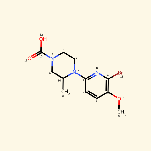 COc1ccc(N2CCN(C(=O)O)CC2C)nc1Br